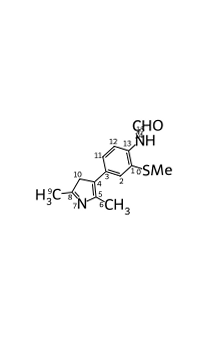 CSc1cc(C2=C(C)N=C(C)C2)ccc1NC=O